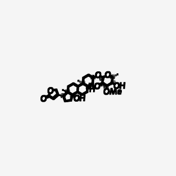 CO[C@@H]1[C@@H](O)[C@@H](O[C@H]2CC[C@]3(C)C4CC[C@]5(C)[C@@H](C6=CC(=O)OC6)CC[C@]5(O)C4CC[C@@H]3C2)O[C@H](C)[C@H]1O